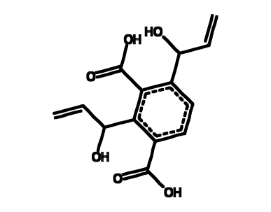 C=CC(O)c1ccc(C(=O)O)c(C(O)C=C)c1C(=O)O